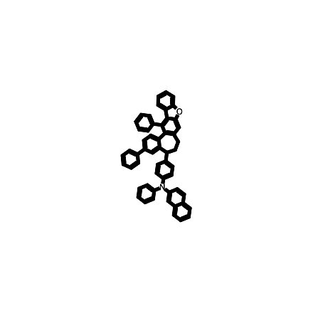 c1ccc(-c2ccc3c(c2)C(c2ccc(N(c4ccccc4)c4ccc5ccccc5c4)cc2)CCc2cc4oc5ccccc5c4c(-c4ccccc4)c2-3)cc1